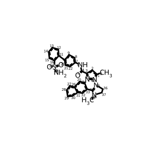 Cc1cc(C(=O)Nc2ccc(-c3ccccc3S(N)(=O)=O)cc2)n(-c2cc3ccccc3cc2C2=NCCN2C)n1